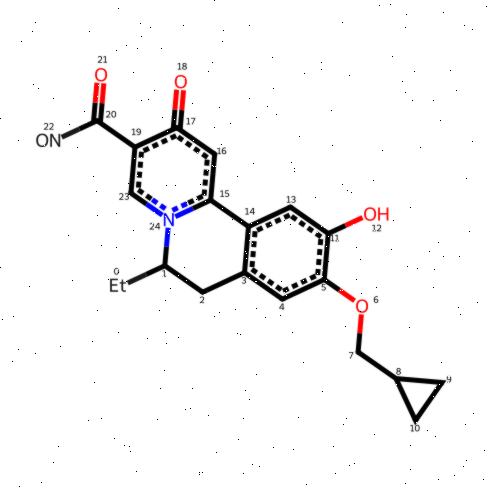 CCC1Cc2cc(OCC3CC3)c(O)cc2-c2cc(=O)c(C(=O)N=O)cn21